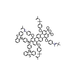 C=C(C)/C=C(\C)c1ccc(Oc2cc(N(c3ccc(N4c5ccccc5Sc5ccccc54)cc3)c3ccc(N4c5ccccc5Sc5ccccc54)cc3)c3ccc(Oc4ccc(C(C)(C)CC(=C)C)cc4)c4c5ccc6c7c(Oc8ccc(/C(C)=C/C(C)(C)C)cc8)cc8c9c(cc(Oc%10ccc(C(C)(C)CC(=C)C)cc%10)c(c%10ccc(c2c34)c5c6%10)c97)C(=O)OC8=O)cc1